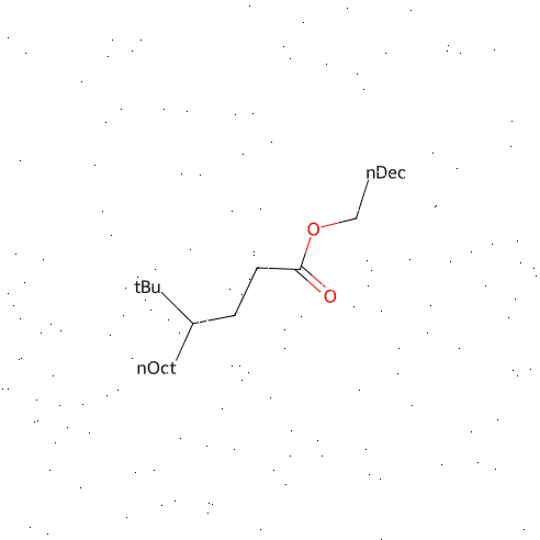 CCCCCCCCCCCOC(=O)CCC(CCCCCCCC)C(C)(C)C